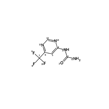 NC(=O)Nc1cc(C(F)(F)F)ncn1